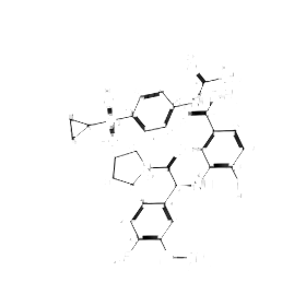 COc1cc([C@H](Nc2cc(C(N)=O)ccc2F)C(=O)N2CCC[C@@H]2c2cc(NC(=O)O)ccc2S(=O)(=O)C2CC2)ccc1F